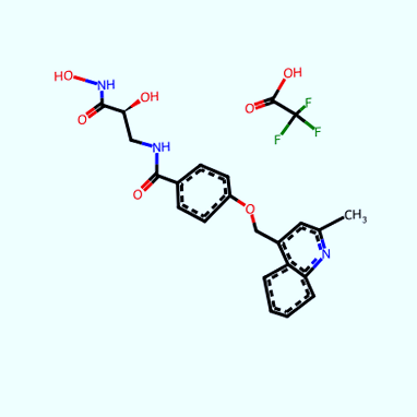 Cc1cc(COc2ccc(C(=O)NC[C@H](O)C(=O)NO)cc2)c2ccccc2n1.O=C(O)C(F)(F)F